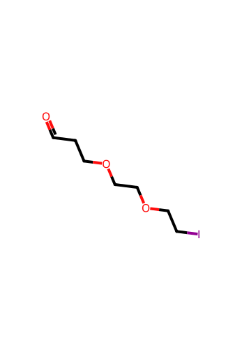 O=CCCOCCOCCI